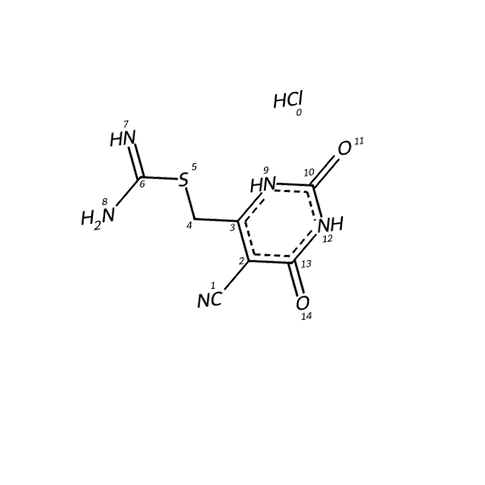 Cl.N#Cc1c(CSC(=N)N)[nH]c(=O)[nH]c1=O